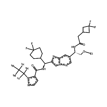 [2H]C([2H])([2H])C([2H])([2H])n1nccc1C(=O)N[C@H](c1cn2ncc([C@@H](COCC)NC(=O)CC3CC(F)(F)C3)cc2n1)C1CCC(F)(F)CC1